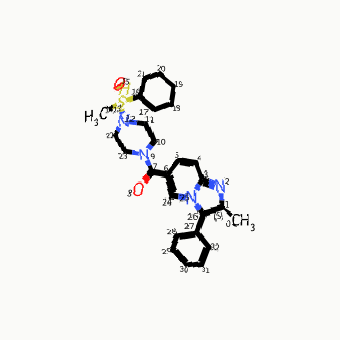 C[C@@H]1N=C2C=CC(C(=O)N3CCN([SH](C)(=O)C4CCCCC4)CC3)=CN2C1c1ccccc1